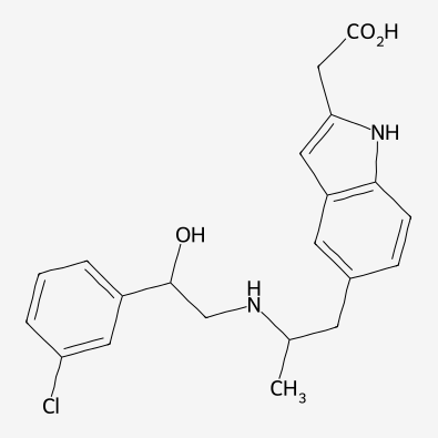 CC(Cc1ccc2[nH]c(CC(=O)O)cc2c1)NCC(O)c1cccc(Cl)c1